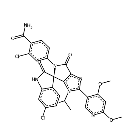 COc1cc(OC)c(-c2nc3c(n2C(C)C)[C@]2(C(=O)Nc4cc(Cl)ccc42)N(c2ccc(C(N)=O)c(Cl)c2)C3=O)cn1